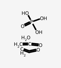 C=C=O.C=C=O.O.O=P(O)(O)O